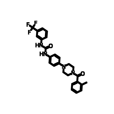 Cc1ccccc1C(=O)N1CCN(c2ccc(NC(=O)Nc3cccc(C(F)(F)F)c3)cc2)CC1